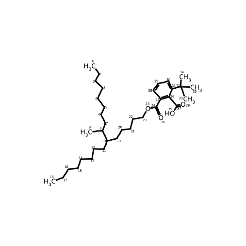 CCCCCCCCC(C)C(CCCCCCCC)CCCCCOC(=O)c1cccc(C(C)(C)C)c1C(=O)O